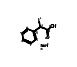 O=C(O)C(I)c1ccccc1.[NaH]